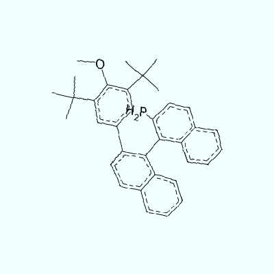 COc1c(C(C)(C)C)cc(-c2ccc3ccccc3c2-c2c(P)ccc3ccccc23)cc1C(C)(C)C